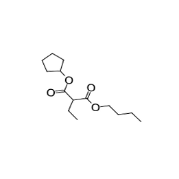 CCCCOC(=O)C(CC)C(=O)OC1CCCC1